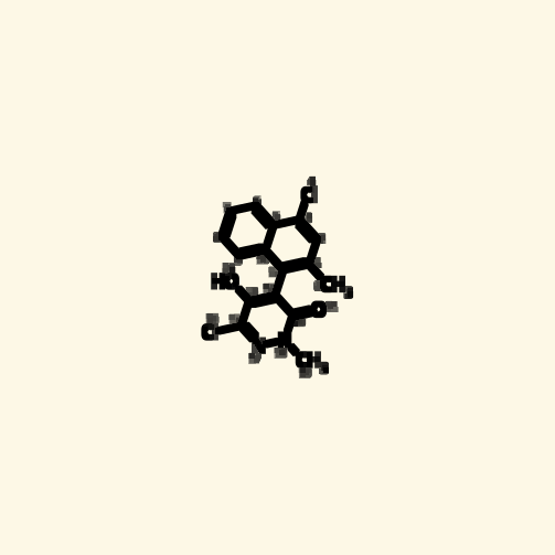 Cc1cc(Cl)c2ccccc2c1-c1c(O)c(Cl)nn(C)c1=O